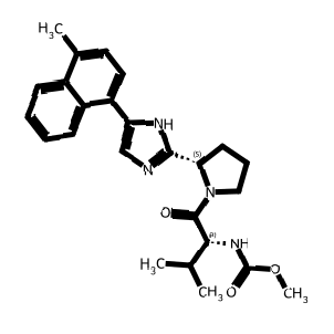 COC(=O)N[C@@H](C(=O)N1CCC[C@H]1c1ncc(-c2ccc(C)c3ccccc23)[nH]1)C(C)C